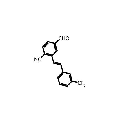 N#Cc1ccc(C=O)cc1C=Cc1cccc(C(F)(F)F)c1